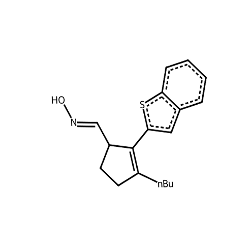 CCCCC1=C(c2cc3ccccc3s2)C(C=NO)CC1